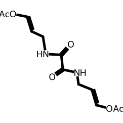 CC(=O)OC=CCNC(=O)C(=O)NCC=COC(C)=O